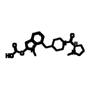 CN1CCC[C@@H]1C(=O)N1CCC(Cc2cccc3cc(OC(=O)O)n(C)c23)CC1